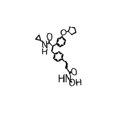 O=C(/C=C/c1ccc(/C=C(/C(=O)NC2CC2)c2cccc(OC3CCCC3)c2)cc1)NO